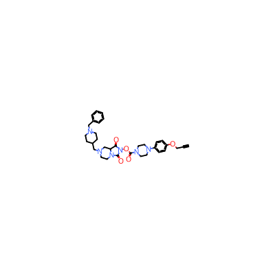 C#CCOc1ccc(N2CCN(C(=O)ON3C(=O)C4CN(CC5CCN(Cc6ccccc6)CC5)CCN4C3=O)CC2)cc1